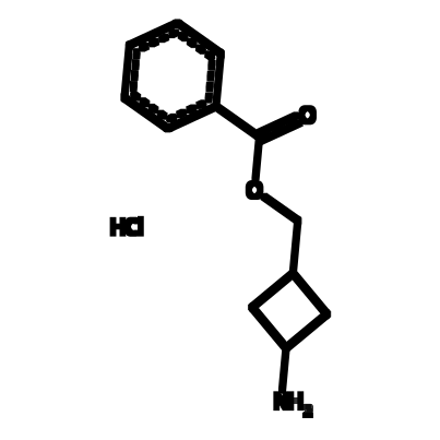 Cl.NC1CC(COC(=O)c2ccccc2)C1